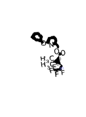 CC1(C)[C@H](/C=C(/F)C(F)(F)F)[C@H]1C(=O)OCc1cccc(Oc2ccccc2)n1